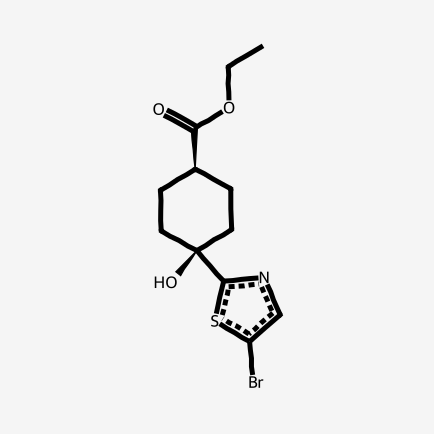 CCOC(=O)[C@H]1CC[C@](O)(c2ncc(Br)s2)CC1